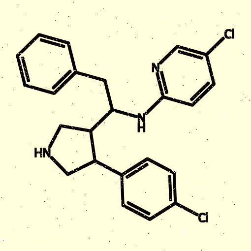 Clc1ccc(C2CNCC2C(Cc2ccccc2)Nc2ccc(Cl)cn2)cc1